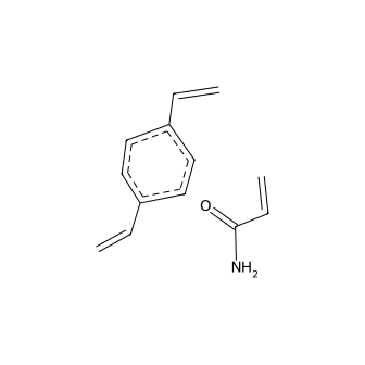 C=CC(N)=O.C=Cc1ccc(C=C)cc1